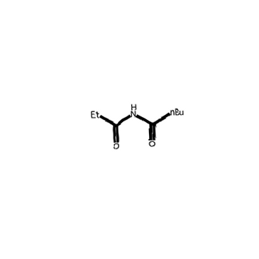 CCCCC(=O)NC(=O)CC